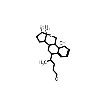 CC[C@H]1CCC2C3CC(C(C)CCC[O])C4=CC=CC[C@]4(C)C3CC[C@@]21C